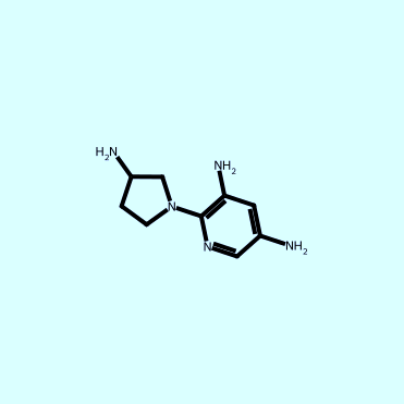 Nc1cnc(N2CCC(N)C2)c(N)c1